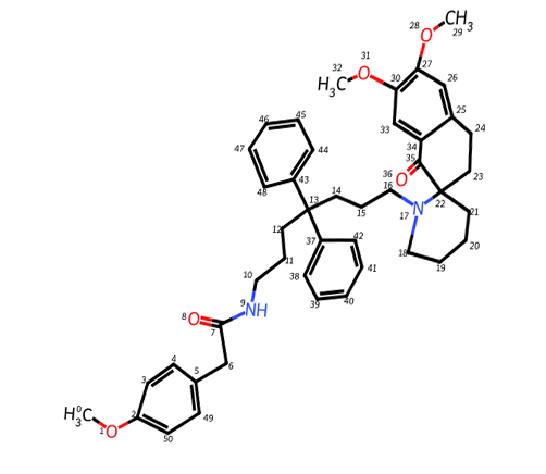 COc1ccc(CC(=O)NCCCC(CCCN2CCCCC23CCc2cc(OC)c(OC)cc2C3=O)(c2ccccc2)c2ccccc2)cc1